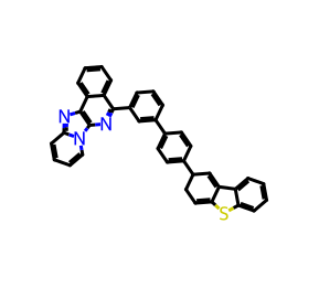 C1=c2sc3ccccc3c2=CC(c2ccc(-c3cccc(-c4nc5c(nc6ccccn65)c5ccccc45)c3)cc2)C1